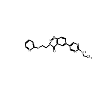 O=c1c2cc(-c3cnc(NCC(F)(F)F)nc3)ccc2nnn1CCOc1ncccn1